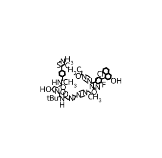 C=CC(=O)N1CCN(c2nc(O[C@H](C)CN3CCN(C4CN(CC(=O)N[C@H](C(=O)N5C[C@H](O)C[C@H]5C(=O)N[C@@H](C)c5ccc(-c6scnc6C)cc5)C(C)(C)C)C4)CC3)nc3c(F)c(-c4cc(O)cc5ccccc45)c(Cl)cc23)CC1